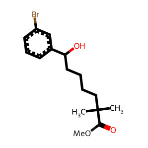 COC(=O)C(C)(C)CCCCC(O)c1cccc(Br)c1